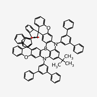 CC(C)(C)c1cc2c3c(c1)N(c1cc(-c4ccccc4)cc(-c4ccccc4)c1)c1cc4c(cc1B3c1cc3c(cc1N2c1cc(-c2ccccc2)cc(-c2ccccc2)c1)Oc1ccccc1C31c2ccccc2-c2ccccc21)C1(c2ccccc2O4)c2ccccc2-c2ccccc21